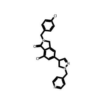 O=C1c2c(Cl)cc(C3C=NN(Cc4ccncc4)C3)cc2CN1Cc1ccc(Cl)cc1